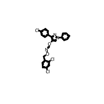 Clc1ccc(-c2nn(-c3ccccc3)cc2O/C=N/OCc2ccc(Cl)cc2Cl)cc1